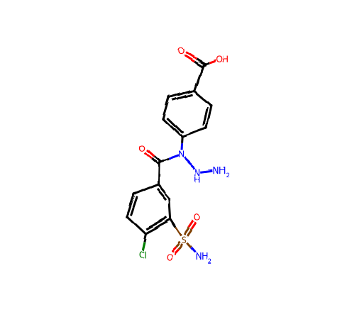 NNN(C(=O)c1ccc(Cl)c(S(N)(=O)=O)c1)c1ccc(C(=O)O)cc1